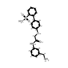 CS(=O)(=O)c1ccccc1-c1ccc(OCC(=O)Nc2cccc(CN)c2)cc1